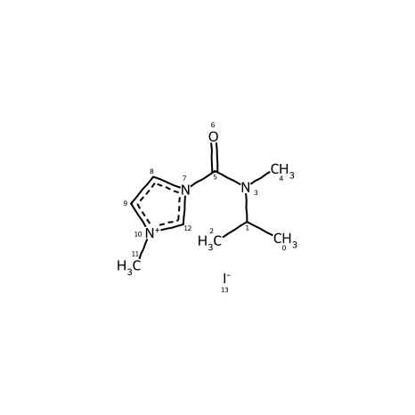 CC(C)N(C)C(=O)n1cc[n+](C)c1.[I-]